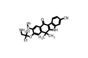 CCC(CC)(CN)Oc1cc2c(cc1OC(C)C)C(=O)c1c([nH]c3cc(C#N)ccc13)C2(C)C